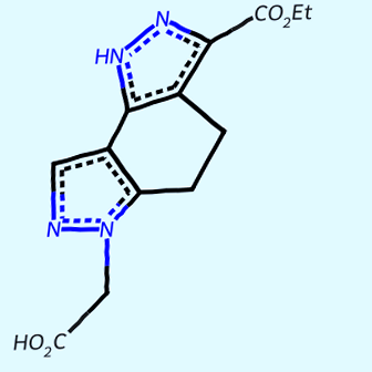 CCOC(=O)c1n[nH]c2c1CCc1c-2cnn1CC(=O)O